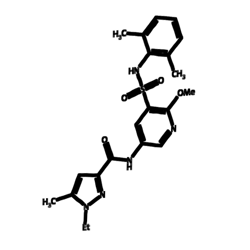 CCn1nc(C(=O)Nc2cnc(OC)c(S(=O)(=O)Nc3c(C)cccc3C)c2)cc1C